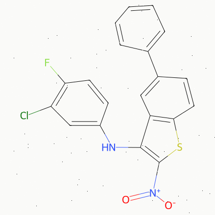 O=[N+]([O-])c1sc2ccc(-c3ccccc3)cc2c1Nc1ccc(F)c(Cl)c1